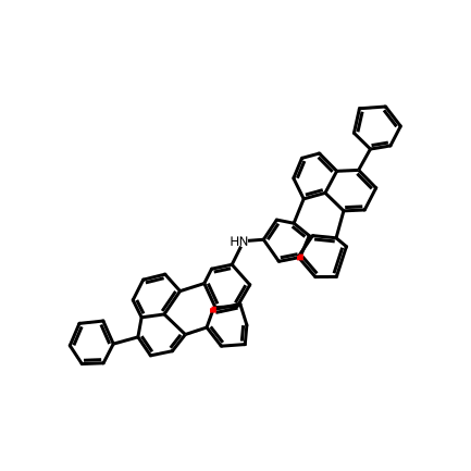 c1ccc(-c2ccc(-c3ccccc3)c3c(-c4cccc(Nc5cccc(-c6cccc7c(-c8ccccc8)ccc(-c8ccccc8)c67)c5)c4)cccc23)cc1